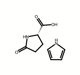 O=C1CC[C@@H](C(=O)O)N1.c1cc[nH]c1